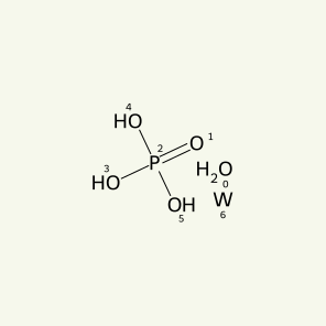 O.O=P(O)(O)O.[W]